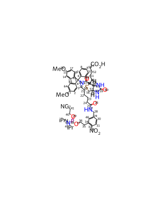 COc1ccc(C(c2ccccc2)(c2ccc(OC)cc2)N(CCCCCC(=O)NCc2ccc([N+](=O)[O-])c(CCOP(OCCC#N)N(C(C)C)C(C)C)c2)C(=O)[C@@]2(CCCCC(=O)O)SC[C@@H]3NC(=O)N[C@@H]32)cc1